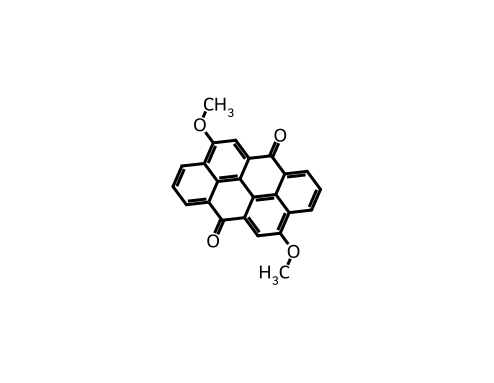 COc1cc2c3c4c1cccc4c(=O)c1cc(OC)c4cccc(c2=O)c4c1-3